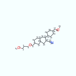 COCCCOCC1CCC2CC(C3CCC(COC)CC3)C(C#N)CC2C1